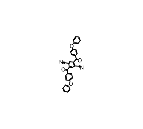 N#Cc1cc(C(=O)c2ccc(Oc3ccccc3)cc2)c(C#N)cc1C(=O)c1ccc(Oc2ccccc2)cc1